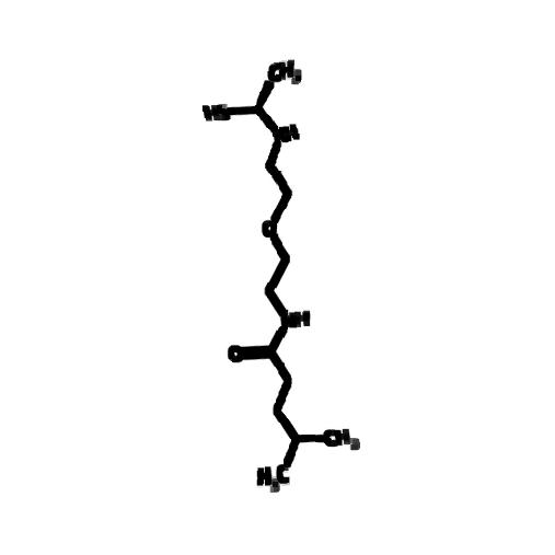 CC(C)CCC(=O)NCCOCCN[C@H](C)S